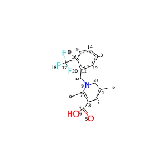 CC1=CC(C(=O)O)=C(C)N(Cc2ccccc2C(F)(F)F)C1